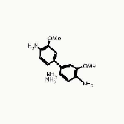 COc1cc(-c2ccc(N)c(OC)c2)ccc1N.N.N